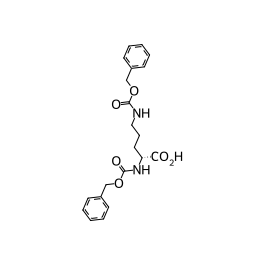 O=C(NCCC[C@@H](NC(=O)OCc1ccccc1)C(=O)O)OCc1ccccc1